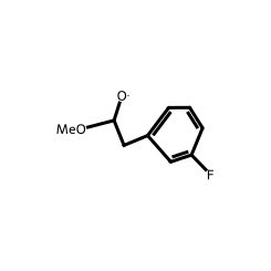 COC([O])Cc1cccc(F)c1